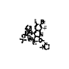 CN1CCC[C@H]1COc1nc2c(F)c(Br)c(I)cc2c(NC2C3CC2N(C(=O)OC(C)(C)C)C3)c1[N+](=O)[O-]